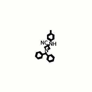 Cc1ccc(NC2(C#N)CN(C(c3ccccc3)c3ccccc3)C2)cc1